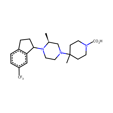 C[C@H]1CN(C2(C)CCN(C(=O)O)CC2)CCN1C1CCc2ccc(C(F)(F)F)cc21